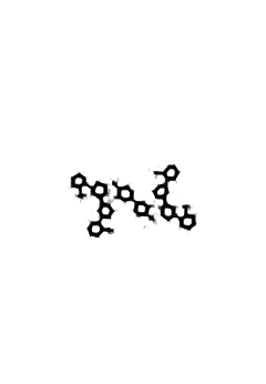 FC(F)(F)c1ccccc1-c1ccc2c(c1)c1cc(-c3ccccc3C(F)(F)F)ccc1n2-c1cc(-c2ccc(C(F)(F)F)c(-n3c4ccc(-c5ccccc5C(F)(F)F)cc4c4cc(-c5ccccc5C(F)(F)F)ccc43)c2)ccc1C(F)(F)F